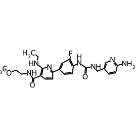 CCNc1nc(-c2ccc(NC(=O)NCc3ccc(N)nc3)c(F)c2)ccc1C(=O)NCCOC